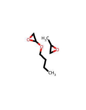 CC1CO1.CCCCOC1CO1